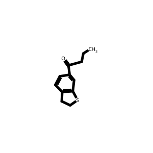 CCCC(=O)c1ccc2c(c1)SCC2